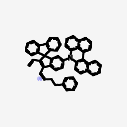 C=CC1=C(/C=C\CCc2ccccc2)c2ccc(N3c4ccc5ccccc5c4-c4cccc5cccc3c45)cc2C12c1ccccc1-c1ccccc12